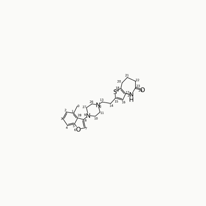 Cc1cccc2occ(N3CCN(CCc4cc5c(s4)CCCC(=O)N5)CC3)c12